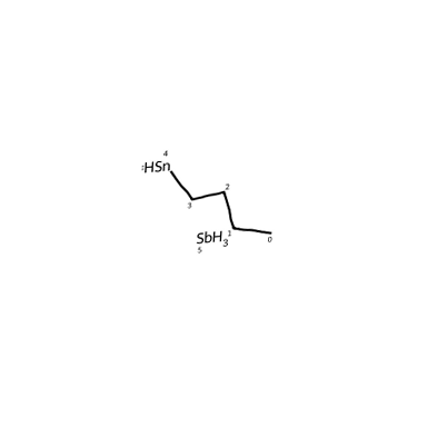 CCC[CH2][SnH].[SbH3]